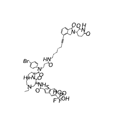 CCN1CC[C@H]2CC[C@@H](C(=O)N(CCC(=O)NCCCCCC#Cc3cccc4c3CN(C3CCC(=O)NC3=O)C4=O)c3ccc(Br)cc3)N2C(=O)[C@@H](NC(=O)c2cc3cc(C(F)(F)P(=O)(O)O)ccc3s2)C1